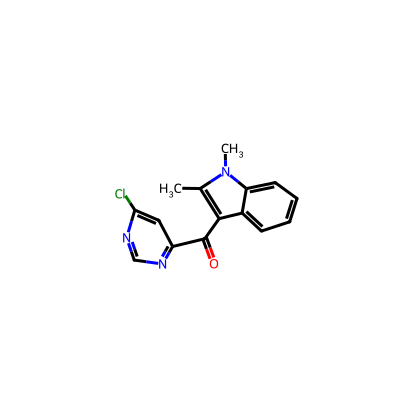 Cc1c(C(=O)c2cc(Cl)ncn2)c2ccccc2n1C